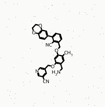 Cc1cc(CN)c(OCc2cncc(C#N)c2)cc1OCc1cccc(-c2ccc3c(c2)OCCO3)c1C#N